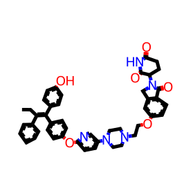 CCC(=C(c1ccc(O)cc1)c1ccc(Oc2ccc(N3CCN(CCOc4ccc5c(c4)CN(C4CCC(=O)NC4=O)C5=O)CC3)cn2)cc1)c1ccccc1